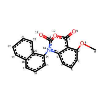 COc1cccc2c1c(=O)oc(=O)n2-c1cccc2ccccc12